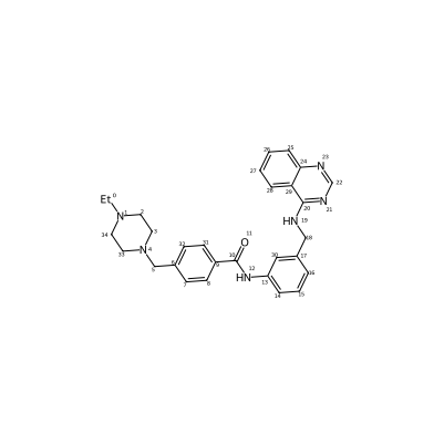 CCN1CCN(Cc2ccc(C(=O)Nc3cccc(CNc4ncnc5ccccc45)c3)cc2)CC1